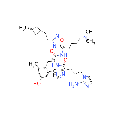 C=C1CC(CCc2noc([C@H](CCCCN(C)C)NC(=O)[C@H](Cc3c(C)cc(O)cc3C)NC(=O)[C@H](N)CCCn3ccnc3N)n2)C1